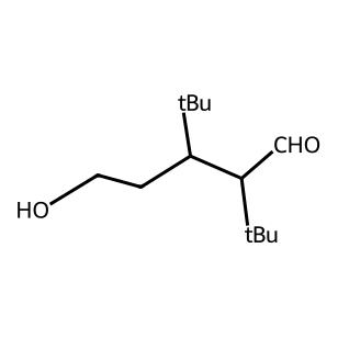 CC(C)(C)C(C=O)C(CCO)C(C)(C)C